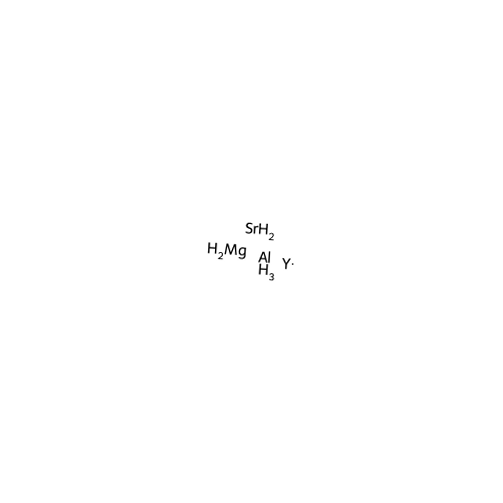 [AlH3].[MgH2].[SrH2].[Y]